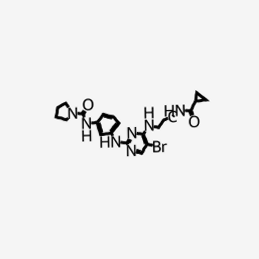 O=C(NCCCNc1nc(Nc2cccc(NC(=O)N3CCCC3)c2)ncc1Br)C1CC1